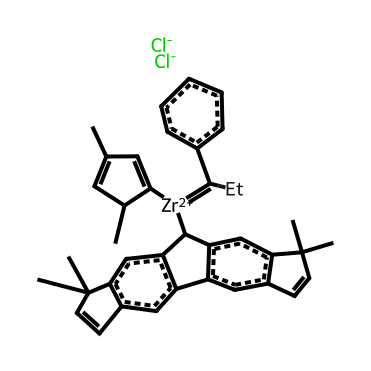 CC/[C](c1ccccc1)=[Zr+2](/[C]1=CC(C)=CC1C)[CH]1c2cc3c(cc2-c2cc4c(cc21)C(C)(C)C=C4)C=CC3(C)C.[Cl-].[Cl-]